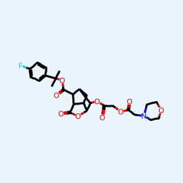 CC(C)(OC(=O)C1C2CC3C(OC(=O)C31)C2OC(=O)COC(=O)CN1CCOCC1)c1ccc(F)cc1